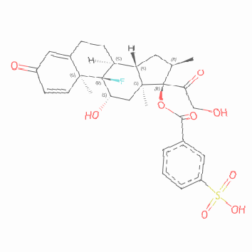 C[C@@H]1C[C@H]2[C@@H]3CCC4=CC(=O)C=C[C@]4(C)[C@@]3(F)[C@@H](O)C[C@]2(C)[C@@]1(OC(=O)c1cccc(S(=O)(=O)O)c1)C(=O)CO